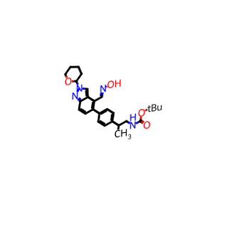 CC(CNC(=O)OC(C)(C)C)c1ccc(-c2ccc3nn(C4CCCCO4)cc3c2C=NO)cc1